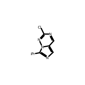 CC(C)c1ncc2cnc(Cl)nn12